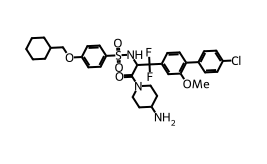 COc1cc(C(F)(F)C(NS(=O)(=O)c2ccc(OCC3CCCCC3)cc2)C(=O)N2CCC(N)CC2)ccc1-c1ccc(Cl)cc1